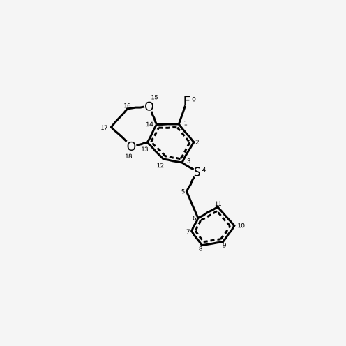 Fc1cc(SCc2ccccc2)cc2c1OCCO2